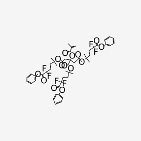 C=C(C)C(=O)OC(CC(=O)OC(C)(C)CCC(F)(F)C(=O)Oc1ccccc1)(CC(=O)OC(C)(C)CCC(F)(F)C(=O)Oc1ccccc1)C(=O)OC(C)(C)CCC(F)(F)C(=O)Oc1ccccc1